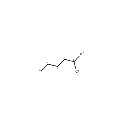 [CH2]CCCC(F)Cl